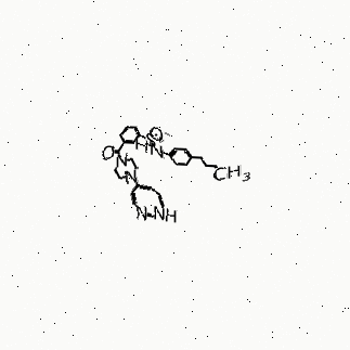 CCCCc1ccc(N[S+]([O-])c2cccc(C(=O)N3CCN(c4ccc[nH]cncc4)CC3)c2)cc1